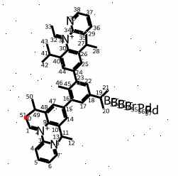 CC=[N+](c1ccccn1)c1c(C(C)C)cc(-c2cc(C(C)C)cc(-c3cc(C(C)C)c([N+](=CC)c4ccccn4)c(C(C)C)c3)c2C)cc1C(C)C.[Br-].[Br-].[Br-].[Br-].[Pd].[Pd]